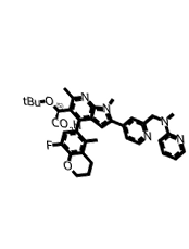 Cc1nc2c(cc(-c3ccnc(CN(C)c4ccccn4)c3)n2C)c(-c2cc(F)c3c(c2C)CCCO3)c1[C@H](OC(C)(C)C)C(=O)O